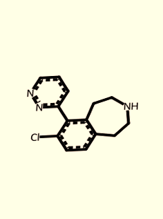 Clc1ccc2c(c1-c1cccnn1)CCNCC2